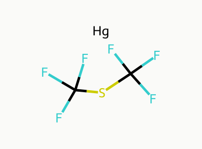 FC(F)(F)SC(F)(F)F.[Hg]